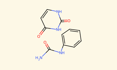 NC(=O)Nc1ccccc1.O=c1cc[nH]c(=O)[nH]1